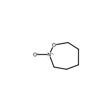 [O-][N+]1CCCCCO1